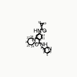 O=C(NCc1cccnc1)c1ccc(NC(=O)C2CC2)cc1N1CCCCCC1